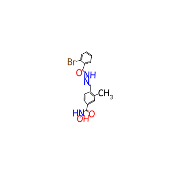 Cc1cc(C(=O)NO)ccc1/C=N/NC(=O)c1ccccc1Br